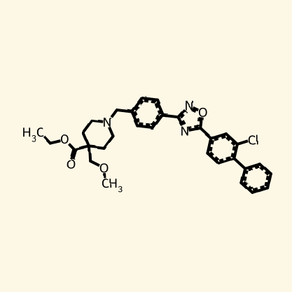 CCOC(=O)C1(COC)CCN(Cc2ccc(-c3noc(-c4ccc(-c5ccccc5)c(Cl)c4)n3)cc2)CC1